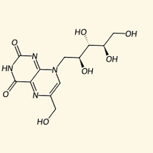 O=c1nc2n(C[C@H](O)[C@H](O)[C@H](O)CO)cc(CO)nc-2c(=O)[nH]1